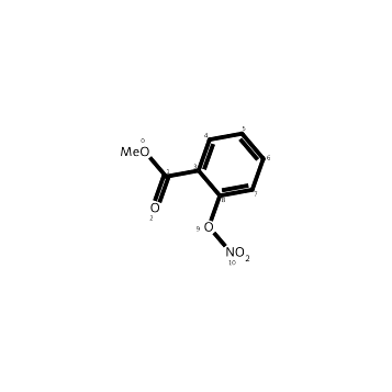 COC(=O)c1ccccc1O[N+](=O)[O-]